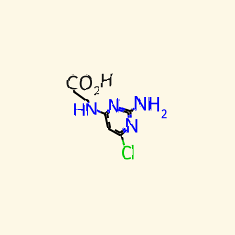 Nc1nc(Cl)cc(NCCC(=O)O)n1